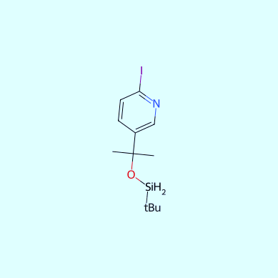 CC(C)(C)[SiH2]OC(C)(C)c1ccc(I)nc1